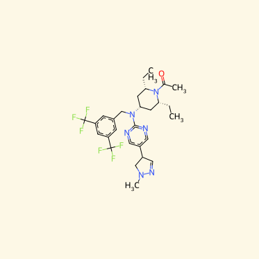 CC[C@@H]1C[C@H](N(Cc2cc(C(F)(F)F)cc(C(F)(F)F)c2)c2ncc(C3C=NN(C)C3)cn2)C[C@H](CC)N1C(C)=O